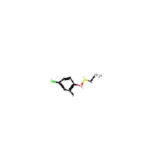 Cc1cc(Cl)ccc1OSCC(=O)O